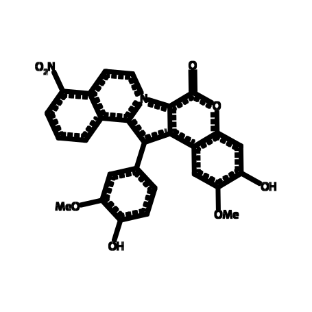 COc1cc(-c2c3c4cc(OC)c(O)cc4oc(=O)c3n3ccc4c([N+](=O)[O-])cccc4c23)ccc1O